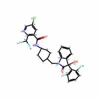 O=C(NC1CCC(CN2C(=O)C(O)(c3c(F)cccc3F)c3ccccc32)CC1)c1cc(Cl)cnc1C(F)F